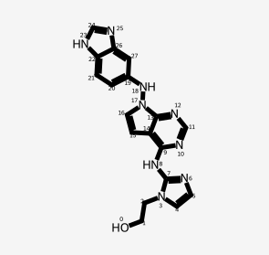 OCCn1ccnc1Nc1ncnc2c1ccn2Nc1ccc2[nH]cnc2c1